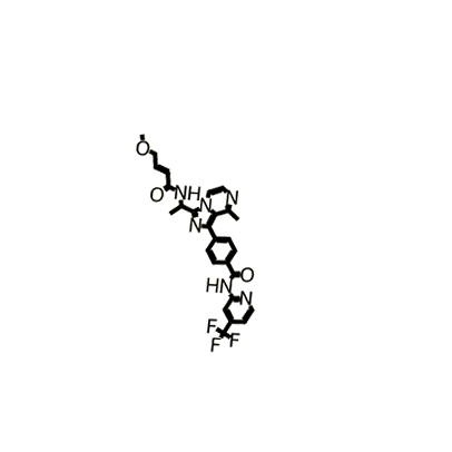 COCC=CC(=O)NC(C)c1nc(-c2ccc(C(=O)Nc3cc(C(F)(F)F)ccn3)cc2)c2c(C)nccn12